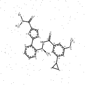 CCN(C)C(=O)c1cnc(-c2nccnc2[C@H](C)NC(=O)c2cc(OC(F)(F)F)cc(C3CC3)c2)s1